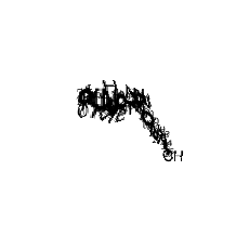 COc1ccccc1Cc1cc2cc(-c3nn([C@H]4CC[C@H](N5CCN(CCCO)CC5)CC4)c4ncnc(N)c34)ccc2[nH]1